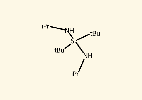 CC(C)N[Si](NC(C)C)(C(C)(C)C)C(C)(C)C